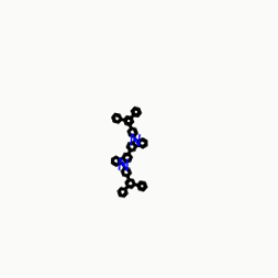 C1=CCC(C2=CC(c3ccccc3)CC(C3C=CC(N4C5=C(CCC=C5)C5C=C(C6=CCC7C(C6)C6C=CC=CC6N7C6C=CC(c7cc(-c8ccccc8)cc(C8C=CC=CC8)c7)CC6)CCC54)CC3)=C2)C=C1